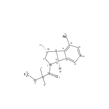 C[C@H]1CN(C(=O)C(C)(C)OC(F)(F)F)[C@@H]2c3cncc(C#N)c3C21